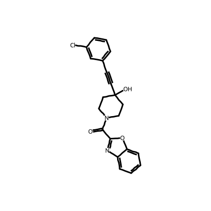 O=C(c1nc2ccccc2o1)N1CCC(O)(C#Cc2cccc(Cl)c2)CC1